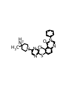 CC1(N)CCN(c2cnc(Sc3ccc4ncn(-c5ccccc5)c(=O)c4c3Cl)cn2)CC1